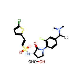 CCC(c1ccc(N2CC[C@H](NS(=O)(=O)C=Cc3ccc(Cl)s3)C2=O)c(F)c1)N(C)C.O=CO